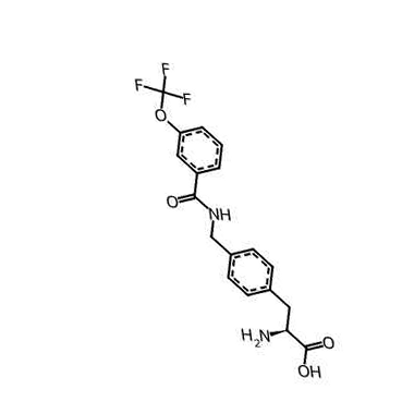 N[C@@H](Cc1ccc(CNC(=O)c2cccc(OC(F)(F)F)c2)cc1)C(=O)O